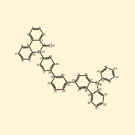 O=c1c2ccccc2c2ccccc2n1-c1ccc(-c2cccc(-c3ccc4c(c3)c3ccccc3n4-c3ccccc3)c2)cc1